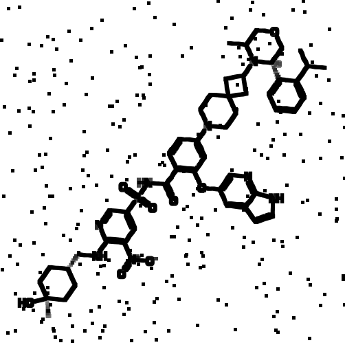 CC(C)c1ccccc1[C@H]1COCC(C)N1C1CC2(CCN(c3ccc(C(=O)NS(=O)(=O)c4cnc(NC[C@H]5CC[C@](C)(O)CC5)c([N+](=O)[O-])c4)c(Oc4cnc5[nH]ccc5c4)c3)CC2)C1